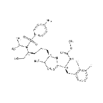 COC(=O)N[C@@H](Cc1cccc(Cl)c1Cl)C(=O)N[C@H](CCC[C@@H](CO)N(C(C)C)S(=O)(=O)c1ccc(N)cc1)C(C)C